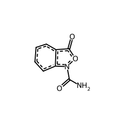 NC(=O)n1oc(=O)c2ccccc21